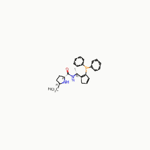 C[C@@H](NC(=O)[C@H]1CC[C@H](C(=O)O)N1)C1=C(P(c2ccccc2)c2ccccc2)C=CC1